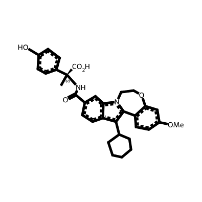 COc1ccc2c(c1)OCCn1c-2c(C2CCCCC2)c2ccc(C(=O)N[C@@](C)(C(=O)O)c3ccc(O)cc3)cc21